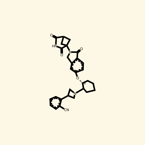 N#Cc1ccccc1C1CN(C2CCCC[C@H]2Oc2ccc3c(c2)CN(C24CC(C2)C(=O)NC4=O)C3=O)C1